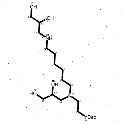 CCCCCCCCCCCCN(CCCCCCNCC(O)CO)CC(O)CO